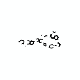 CNC(=O)COc1cc2cc(Nc3nc(N4CCC(OC5CC(N6CCC7(CCN(c8ccc9c(c8)C(=O)N([C@@H]8CCC(=O)NC8=O)C9=O)C7)C6)C5)CC4)ncc3Cl)ccc2n(C(C)C)c1=O